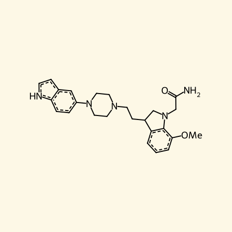 COc1cccc2c1N(CC(N)=O)CC2CCN1CCN(c2ccc3[nH]ccc3c2)CC1